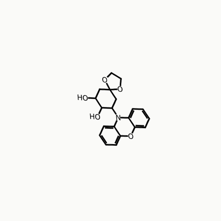 OC1CC2(CC(N3c4ccccc4Oc4ccccc43)C1O)OCCO2